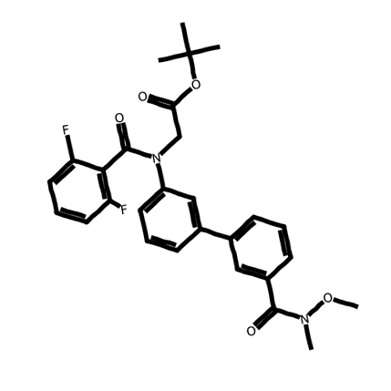 CON(C)C(=O)c1cccc(-c2cccc(N(CC(=O)OC(C)(C)C)C(=O)c3c(F)cccc3F)c2)c1